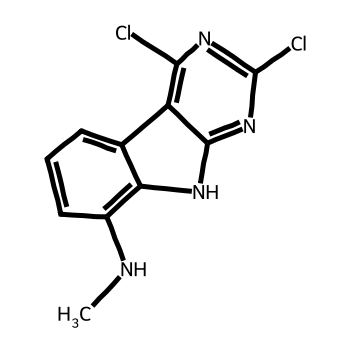 CNc1cccc2c1[nH]c1nc(Cl)nc(Cl)c12